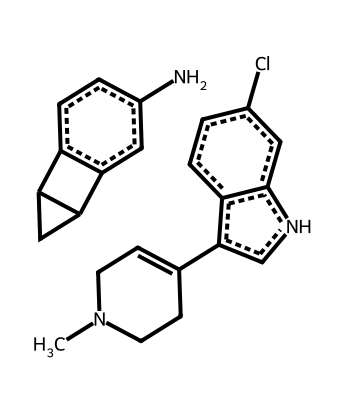 CN1CC=C(c2c[nH]c3cc(Cl)ccc23)CC1.Nc1ccc2c(c1)C1CC21